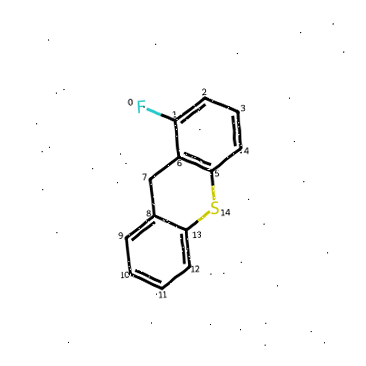 Fc1cc[c]c2c1Cc1ccccc1S2